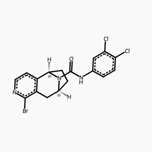 O=C(Nc1ccc(Cl)c(Cl)c1)N1[C@H]2CC[C@@H]1c1ccnc(Br)c1C2